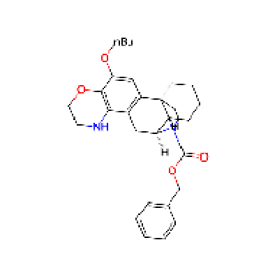 CCCCOc1cc2c(c3c1OCCN3)C[C@H]1[C@H]3CCCC[C@@]23CCN1C(=O)OCc1ccccc1